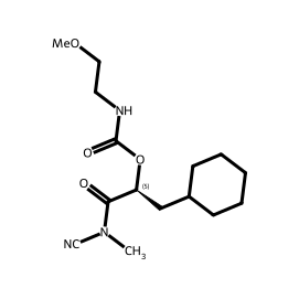 COCCNC(=O)O[C@@H](CC1CCCCC1)C(=O)N(C)C#N